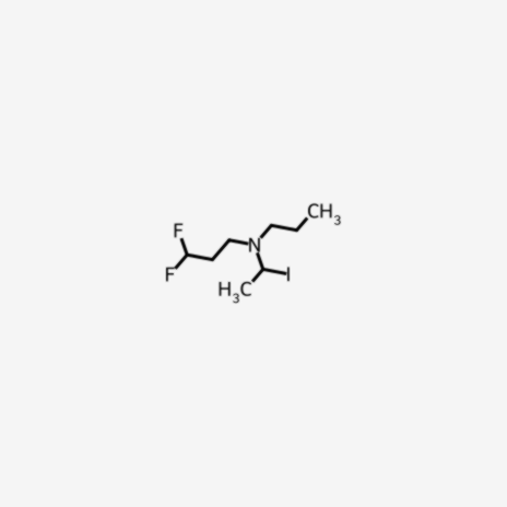 CCCN(CCC(F)F)C(C)I